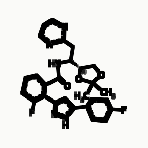 CC1(C)OC[C@@H](C(Cc2ncccn2)NC(=O)c2cccc(F)c2-c2cc(-c3ccc(F)cc3)[nH]n2)O1